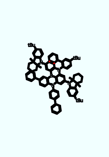 CC(C)(C)c1ccc(N2c3ccc(N4c5ccc(C(C)(C)C)cc5C5(C)CCCCC45C)cc3B3c4cc(-c5ccccc5)ccc4N(c4ccc(-c5ccccc5)cc4)c4cc(N5c6ccc(C(C)(C)C)cc6C6(C)CCCCC56C)cc2c43)c(-c2ccccc2)c1